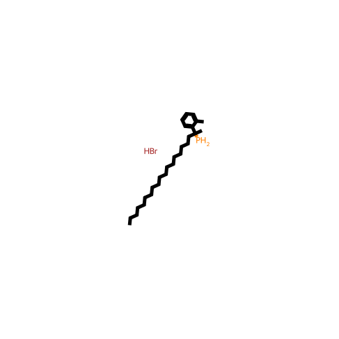 Br.CCCCCCCCCCCCCCCCCCC(C)(P)c1ccccc1C